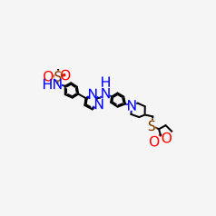 CS(=O)(=O)Nc1ccc(-c2ccnc(Nc3ccc(N4CCC(CSC5CCOC5=O)CC4)cc3)n2)cc1